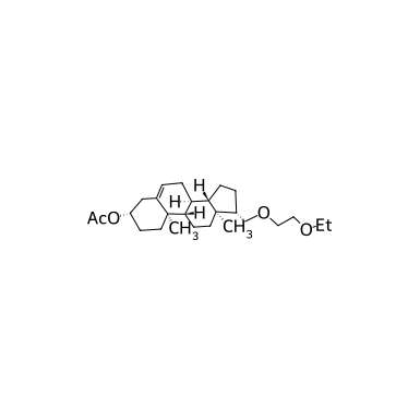 CCOCCOC[C@H]1CC[C@H]2[C@@H]3CC=C4C[C@@H](OC(C)=O)CC[C@]4(C)[C@H]3CC[C@]12C